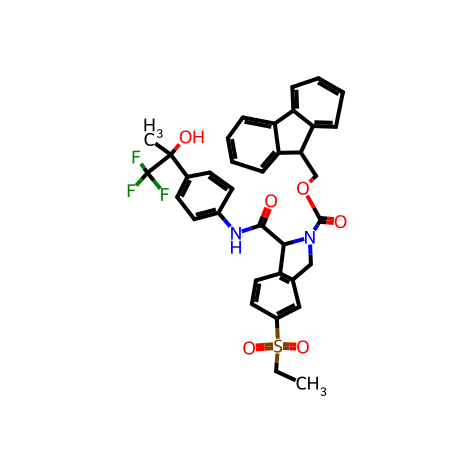 CCS(=O)(=O)c1ccc2c(c1)CN(C(=O)OCC1c3ccccc3-c3ccccc31)C2C(=O)Nc1ccc(C(C)(O)C(F)(F)F)cc1